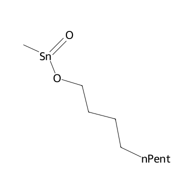 CCCCCCCCC[O][Sn]([CH3])=[O]